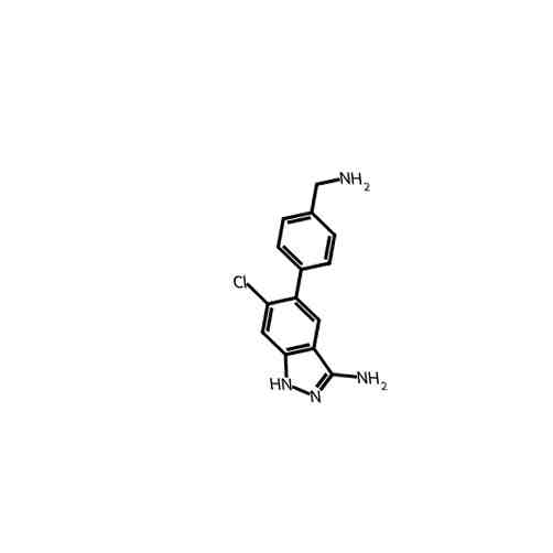 NCc1ccc(-c2cc3c(N)n[nH]c3cc2Cl)cc1